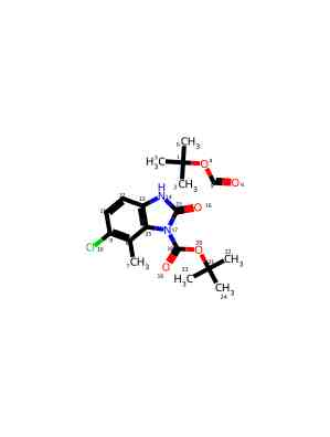 CC(C)(C)OC=O.Cc1c(Cl)ccc2[nH]c(=O)n(C(=O)OC(C)(C)C)c12